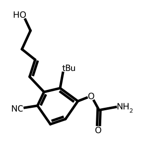 CC(C)(C)c1c(OC(N)=O)ccc(C#N)c1C=CCCO